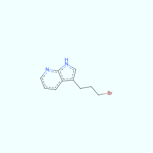 BrCCCc1c[nH]c2ncccc12